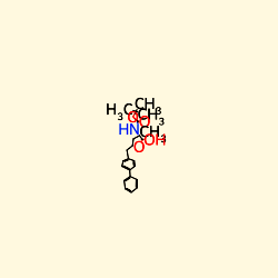 CC(C)(C)OC(=O)N[C@@](C)(CCCc1ccc(-c2ccccc2)cc1)C(=O)O